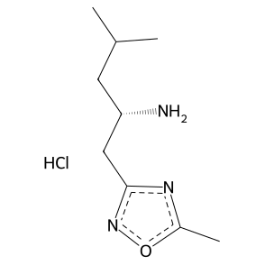 Cc1nc(C[C@@H](N)CC(C)C)no1.Cl